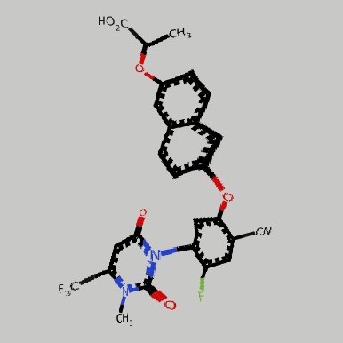 CC(Oc1ccc2cc(Oc3cc(-n4c(=O)cc(C(F)(F)F)n(C)c4=O)c(F)cc3C#N)ccc2c1)C(=O)O